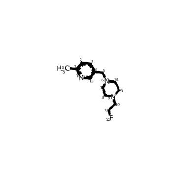 Cc1ccc(CN2CCN(CCF)CC2)cn1